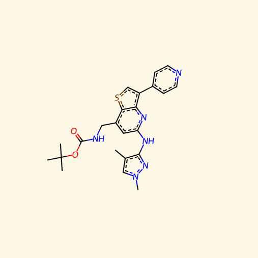 Cc1cn(C)nc1Nc1cc(CNC(=O)OC(C)(C)C)c2scc(-c3ccncc3)c2n1